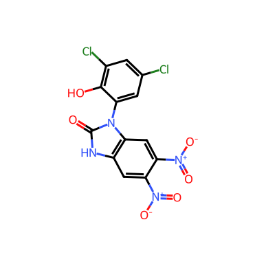 O=c1[nH]c2cc([N+](=O)[O-])c([N+](=O)[O-])cc2n1-c1cc(Cl)cc(Cl)c1O